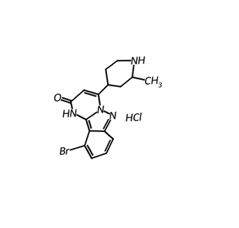 CC1CC(c2cc(=O)[nH]c3c4c(Br)cccc4nn23)CCN1.Cl